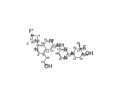 C[C@@H]1[C@H](F)CN1c1ncc(CCO)c2cc(Nc3ccnc(N4CC[C@@H](O)[C@@](C)(F)C4)n3)ncc12